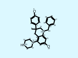 CC1(c2ccc(Cl)cc2)Cc2c(N3CCNCC3)cc(Cl)cc2N(Cc2ccccc2)C1